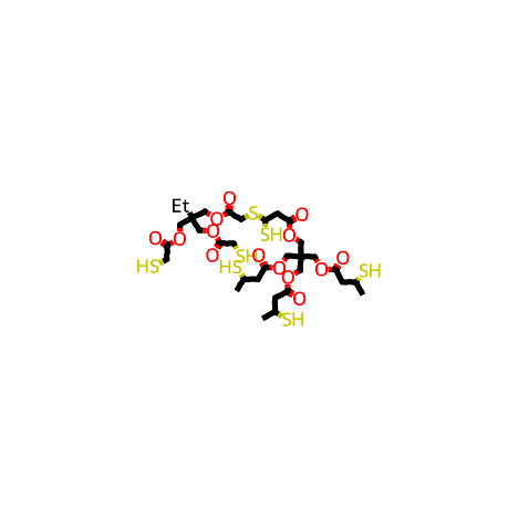 CCC(COC(=O)CS)(COC(=O)CS)COC(=O)CSC(S)CC(=O)OCC(COC(=O)CC(C)S)(COC(=O)CC(C)S)COC(=O)CC(C)S